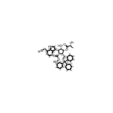 CC(C)[C@H](C)C(=O)O[C@H]1[C@@H](O)[C@H](c2c[nH]c3c(N=[N+]=[N-])ncnc23)N(C(=O)OC(C)(C)C)[C@@H]1COC(c1ccccc1)(c1ccccc1)c1ccccc1